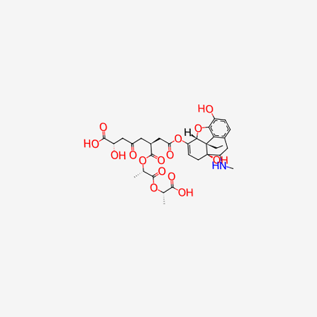 CC[C@]12c3c4ccc(O)c3O[C@H]1C(OC(=O)C[C@H](CC(=O)C[C@H](O)C(=O)O)C(=O)O[C@@H](C)C(=O)O[C@@H](C)C(=O)O)=CC[C@@]2(O)[C@H](NC)C4